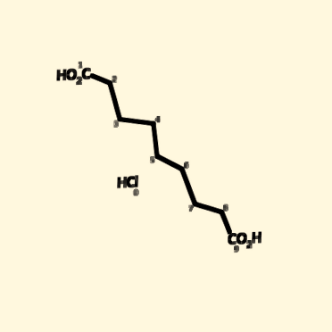 Cl.O=C(O)CCCCCCCC(=O)O